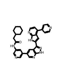 O=C(CC1CCCCC1)Nc1cncc(-c2cnc3[nH]nc(-c4cc5c(-c6ccncc6)ccnc5[nH]4)c3c2)c1